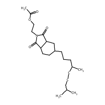 CC(=O)OCCN1C(=O)C2CCC(CCCC(C)CCCC(C)C)CC2C1=O